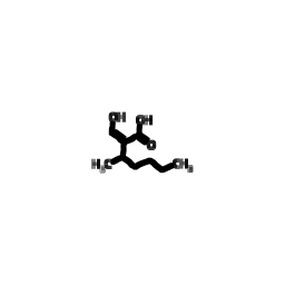 CCCCC(C)C(=CO)C(=O)O